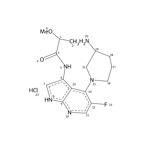 COC(C)C(=O)Nc1c[nH]c2ncc(F)c(N3CCCC(N)C3)c12.Cl